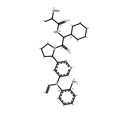 C=CN(c1cncc(C2CCCN2C(=O)C(NC(=O)C(C)NC)C2CCCCC2)c1)c1ccccc1N